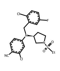 CCS(=O)(=O)N1CC[C@H](N(Cc2cc(F)ccc2Cl)c2ccc(C#N)c(Cl)c2)C1